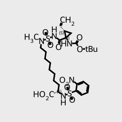 C=C[C@@H]1C[C@]1(NC(=O)OC(C)(C)C)C(=O)NS(=O)(=O)N(C)CCCCCCCC[C@H](NS(=O)(=O)c1ccccc1[N+](=O)[O-])C(=O)O